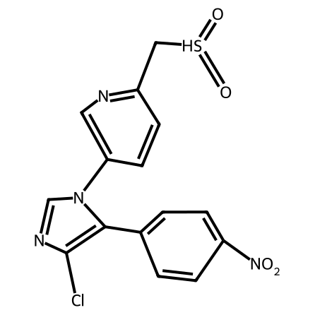 O=[N+]([O-])c1ccc(-c2c(Cl)ncn2-c2ccc(C[SH](=O)=O)nc2)cc1